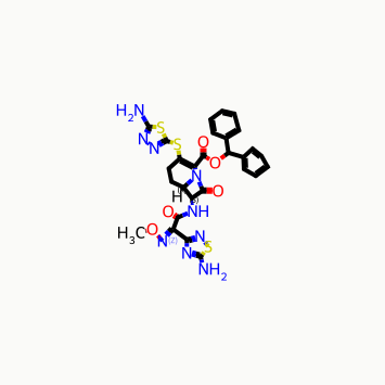 CO/N=C(\C(=O)N[C@@H]1C(=O)N2C(C(=O)OC(c3ccccc3)c3ccccc3)=C(Sc3nnc(N)s3)CC[C@H]12)c1nsc(N)n1